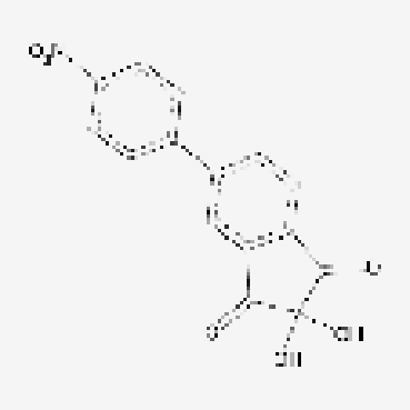 O=C1c2ccc(-c3ccc([N+](=O)[O-])cc3)cc2C(=O)C1(O)O